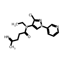 CCN(C(=O)CCC(C)=N)c1cn(-c2cccnc2)nc1Cl